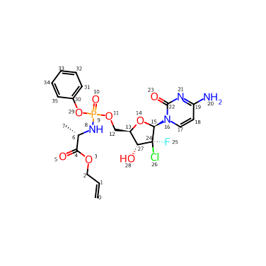 C=CCOC(=O)[C@H](C)NP(=O)(OC[C@H]1O[C@@H](n2ccc(N)nc2=O)[C@@](F)(Cl)[C@@H]1O)Oc1ccccc1